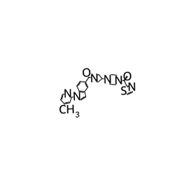 Cc1ccnc(-n2ccc3cc(C(=O)N4CC(N5CCN(C(=O)c6nccs6)CC5)C4)ccc32)c1